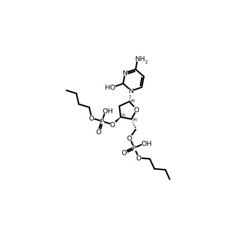 CCCCOP(=O)(O)OC[C@H]1O[C@@H](N2C=CC(N)=NC2O)C[C@@H]1OP(=O)(O)OCCCC